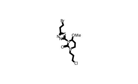 COC1CCN(CCCCl)C(=O)N1c1nnc(CCBr)s1